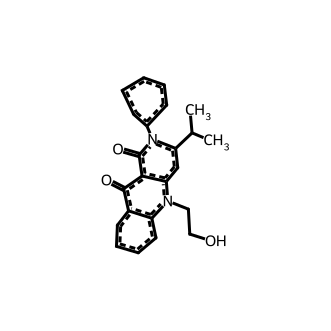 CC(C)c1cc2c(c(=O)c3ccccc3n2CCO)c(=O)n1-c1ccccc1